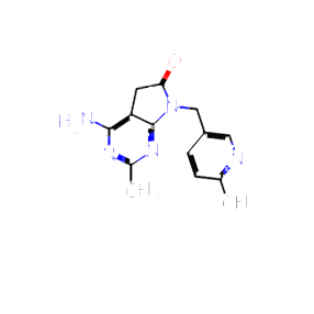 Cc1ccc(CN2C(=O)Cc3c(N)nc(C)nc32)cn1